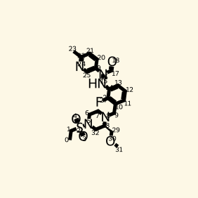 CCS(=O)(=O)N1CCN(Cc2cccc(NN(C=O)c3ccc(C)nc3)c2F)[C@@H](COC)C1